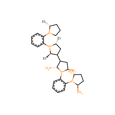 CC[C@@H]1CCCP1c1ccccc1P1[C@H](CC)CC(C2C[C@@H](P)P(c3ccccc3P3[C@H](P)CC[C@H]3P)[C@@H]2P)[C@H]1CC